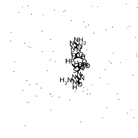 Nc1nc2c(ncn2[C@@H]2SC3CPC[C@H]4[C@H](F)[C@H](n5cnc6c(N)ncnc65)O[C@@H]4CO[PH](=O)O[C@@H]2[C@@H]3O)c(=O)[nH]1